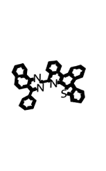 c1ccc(-c2nc(-c3nc4c5sc6ccccc6c5c5ccccc5c4c4ccccc34)nc3c2ccc2ccccc23)cc1